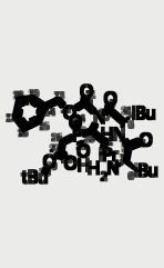 CC[C@H](C)[C@H](N)C(=O)N[C@H](C(=O)N(C(=O)OCc1ccccc1)C(CC(C)C)P(=O)(O)CC(=O)OC(C)(C)C)[C@@H](C)CC